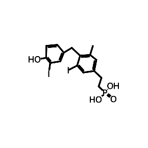 Cc1cc(CCP(=O)(O)O)cc(I)c1Cc1ccc(O)c(I)c1